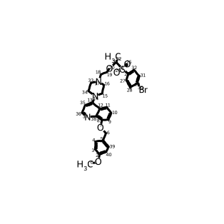 COc1ccc(COc2cccc3c(N4CCN(CCOC(C)S(=O)(=O)c5ccc(Br)cc5)CC4)ccnc23)cc1